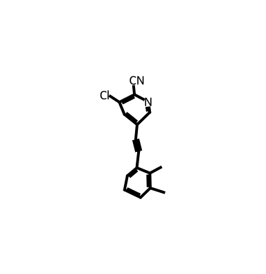 Cc1cccc(C#Cc2cnc(C#N)c(Cl)c2)c1C